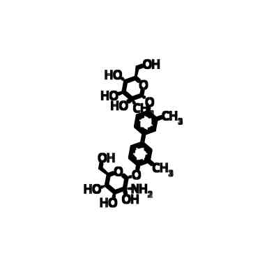 Cc1cc(-c2ccc(O[C@H]3O[C@H](CO)[C@@H](O)[C@H](O)[C@]3(N)O)c(C)c2)ccc1O[C@H]1O[C@H](CO)[C@@H](O)[C@H](O)[C@]1(C)O